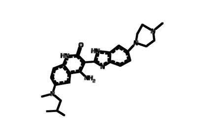 CC(C)CN(C)c1ccc2[nH]c(=O)c(-c3nc4ccc(N5CCN(C)CC5)cc4[nH]3)c(N)c2c1